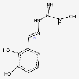 N=C(NO)N/N=C/c1cccc(O)c1O